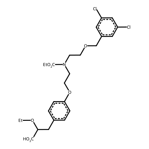 CCOC(=O)N(CCOCc1cc(Cl)cc(Cl)c1)CCOc1ccc(CC(OCC)C(=O)O)cc1